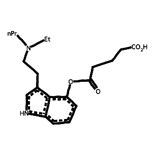 CCCN(CC)CCc1c[nH]c2cccc(OC(=O)CCCC(=O)O)c12